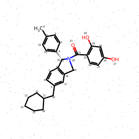 Cc1ccc([C@H]2c3ccc(CC4CCCCC4)cc3CN2C(=O)c2ccc(O)cc2O)cc1